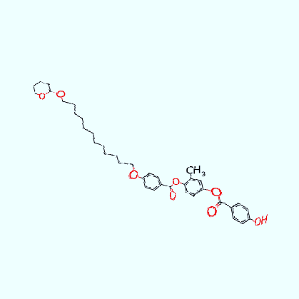 Cc1cc(OC(=O)c2ccc(O)cc2)ccc1OC(=O)c1ccc(OCCCCCCCCCCCCOC2CCCCO2)cc1